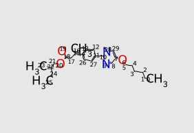 CCCCCCOc1cnc(-c2ccc(C(C)CC(=O)OCC(C)CC)cc2)nc1